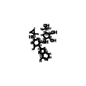 Cc1nc(NC2(C)CC2)nc(N[C@@H]2C[C@H](C(C)(C)O)[C@@H](O)[C@H]2O)c1-c1nc2c(C)nccc2s1